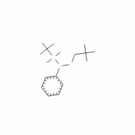 CC(C)(C)CO[SiH](c1ccccc1)[Si](C)(C)C(C)(C)C